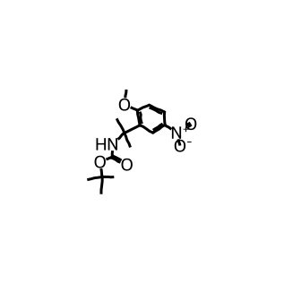 COc1ccc([N+](=O)[O-])cc1C(C)(C)NC(=O)OC(C)(C)C